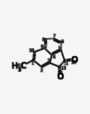 Cc1cc2c3c(cccc3c1)C(=O)C2=O